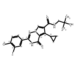 CC(O)(CNC(=O)c1cn2nc(-c3ccc(Cl)c(F)c3)[nH]c(=O)c2c1C1CC1)C(F)(F)F